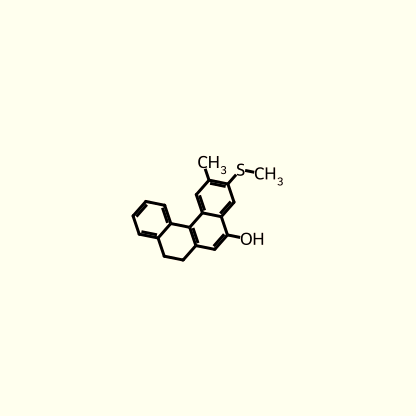 CSc1cc2c(O)cc3c(c2cc1C)-c1ccccc1CC3